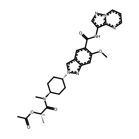 COc1cc2nn([C@H]3CC[C@H](N(C)C(=O)[C@H](C)OC(C)=O)CC3)cc2cc1C(=O)Nc1cnn2cccnc12